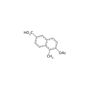 CC(=O)Oc1ccc2cc(C(=O)O)ccc2c1C